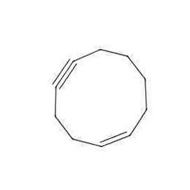 C1#CCCCCC=CCC1